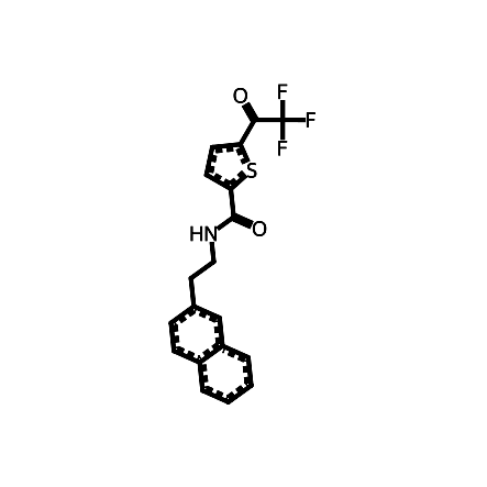 O=C(NCCc1ccc2ccccc2c1)c1ccc(C(=O)C(F)(F)F)s1